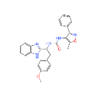 COc1ccc(CC(NC(=O)Nc2c(-c3ccccc3)noc2C)c2nc3ccccc3[nH]2)cc1